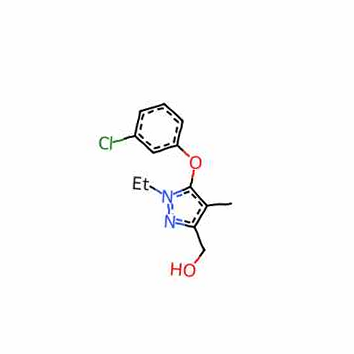 CCn1nc(CO)c(C)c1Oc1cccc(Cl)c1